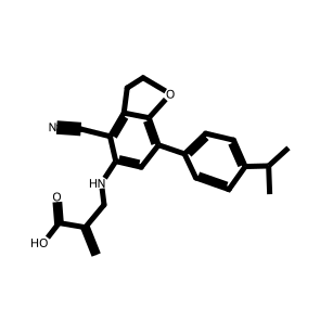 C=C(CNc1cc(-c2ccc(C(C)C)cc2)c2c(c1C#N)CCO2)C(=O)O